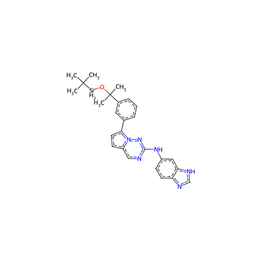 CC(C)(C)[SiH2]OC(C)(C)c1cccc(-c2ccc3cnc(Nc4ccc5nc[nH]c5c4)nn23)c1